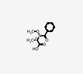 CON(C(=O)c1ccccc1)[C@H](C)C(=O)O